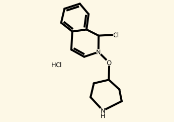 Cl.ClC1c2ccccc2C=CN1OC1CCNCC1